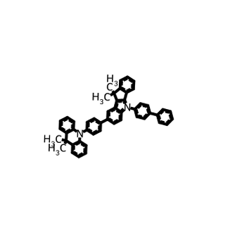 CC1(C)c2ccccc2N(c2ccc(-c3ccc4c(c3)c3c(n4-c4ccc(-c5ccccc5)cc4)-c4ccccc4C3(C)C)cc2)c2ccccc21